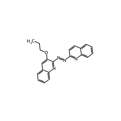 CCCOc1cc2ccccc2nc1N=Nc1ccc2ccccc2n1